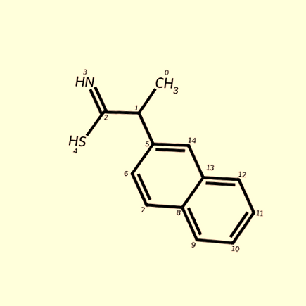 CC(C(=N)S)c1ccc2ccccc2c1